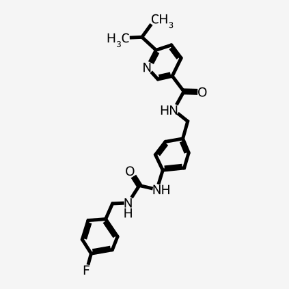 CC(C)c1ccc(C(=O)NCc2ccc(NC(=O)NCc3ccc(F)cc3)cc2)cn1